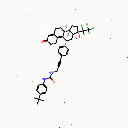 CC(C)(C)c1ccc(NC(=O)NCC#Cc2ccc([C@H]3C[C@@]4(C)[C@@H](CC[C@@]4(O)C(F)(F)C(F)(F)F)[C@@H]4CCC5=CC(=O)CCC5=C43)cc2)cc1